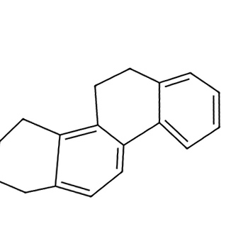 c1ccc2c(c1)CCc1c-2ccc2c1CCCC2